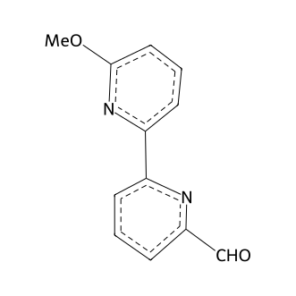 COc1cccc(-c2cccc(C=O)n2)n1